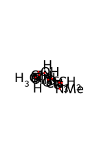 CNc1cc(C)c(CSCCN=C(NCC(O)c2cccc(NS(C)(=O)=O)c2)NS(C)(=O)=O)o1